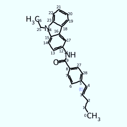 CCC/C=C/c1ccc(C(=O)Nc2ccc3c(c2)c2ccccc2n3CC)cc1